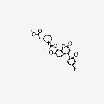 COC(=O)C[C@@H]1CCCN(C(=O)[C@@H](C)Oc2ccc3c(-c4ccc(F)cc4Cl)cc(=O)oc3c2)C1